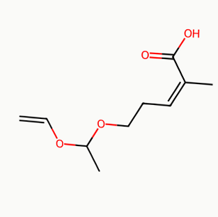 C=COC(C)OCCC=C(C)C(=O)O